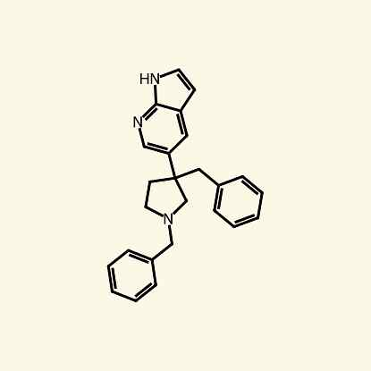 c1ccc(CN2CCC(Cc3ccccc3)(c3cnc4[nH]ccc4c3)C2)cc1